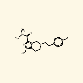 CCCn1nc(C(=O)N(C)C)c2c1CCN(CCc1ccc(F)cc1)C2